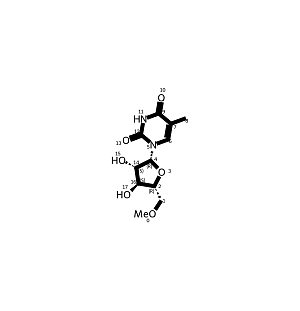 COC[C@H]1O[C@@H](n2cc(C)c(=O)[nH]c2=O)[C@@H](O)[C@@H]1O